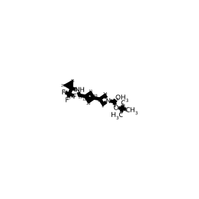 CC(C)(C)OC(=O)N1CC(C23CC(CNC4(C(F)(F)F)CC4)(C2)C3)C1